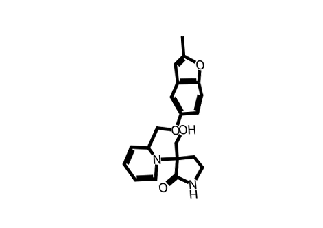 Cc1cc2cc(OCC3C=CC=CN3C3(CO)CCNC3=O)ccc2o1